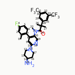 Cc1cc(F)ccc1-c1cc(N2CCC(N)CC2)ncc1N(C)C(=O)C(C)(C)c1cc(C(F)(F)F)cc(C(F)(F)F)c1